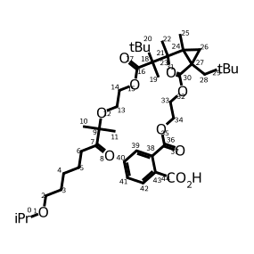 CC(C)OCCCCCC(=O)C(C)(C)OCCOC(=O)C(C)(C(C)(C)C)C(C)(C)C1(C)CC1(CC(C)(C)C)C(=O)OCCOC(=O)c1ccccc1C(=O)O